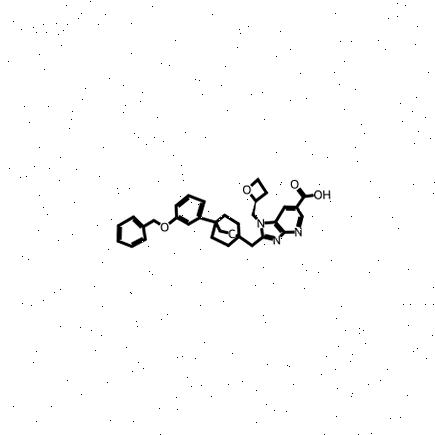 O=C(O)c1cnc2nc(CC34CCC(c5cccc(OCc6ccccc6)c5)(CC3)CC4)n(C[C@@H]3CCO3)c2c1